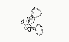 COC(=O)C1(C(=O)c2ccccc2)Cc2ccccc2N1